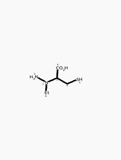 CCN(N)C(CS)C(=O)O